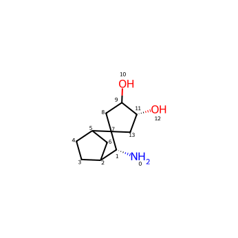 N[C@@H]1C2CCC(C2)C12CC(O)[C@H](O)C2